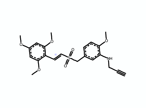 C#CCNc1cc(CS(=O)(=O)/C=C/c2c(OC)cc(OC)cc2OC)ccc1OC